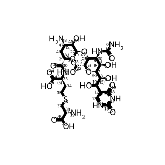 NC(=O)N[C@H]1[C@@H](O)[C@H]([C@@H](O)C(O)c2c[nH]c(=O)[nH]c2=O)O[C@H](C(=O)O)[C@@H]1O[C@@H]1O[C@H](C(=O)N[C@@H](CCSC[C@H](N)C(=O)O)C(=O)O)C[C@H](N)[C@H]1O